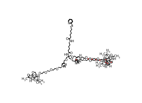 CC(=O)N[C@H]1[C@@H]2OC[C@](COCCOCCOCCOCCn3cc(COCC(COC/C(=C/NCCOCCOCCOCCOC[C@]45CO[C@H](C[C@H]6OC(C)(C)O[C@H]64)O5)N=N)(COCc4cn(CCOCCOCCOCCOC[C@@]56CO[C@@H](O5)[C@H](NC(C)=O)[C@H]5OC(C)(C)O[C@H]56)nn4)NC(=O)CCCCCNC(=O)CCCCCSSc4ccccn4)nn3)(O2)[C@@H]2OC(C)(C)O[C@H]12